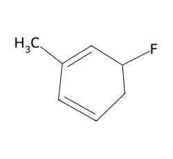 CC1=CC(F)CC=C1